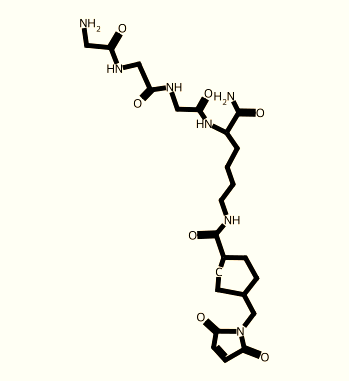 NCC(=O)NCC(=O)NCC(=O)NC(CCCCNC(=O)C1CCC(CN2C(=O)C=CC2=O)CC1)C(N)=O